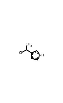 CC(Cl)c1cc[nH]c1